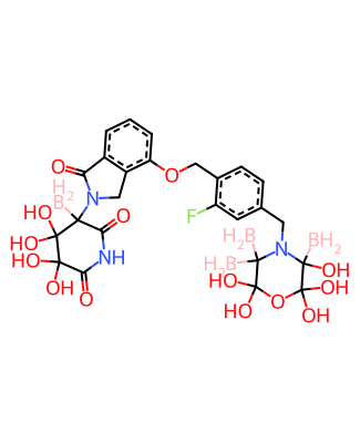 BC1(B)N(Cc2ccc(COc3cccc4c3CN(C3(B)C(=O)NC(=O)C(O)(O)C3(O)O)C4=O)c(F)c2)C(B)(O)C(O)(O)OC1(O)O